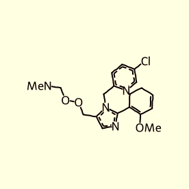 CNCOOCc1cnc(C2=C(OC)C=CCC2)n1Cc1ccc(Cl)cn1